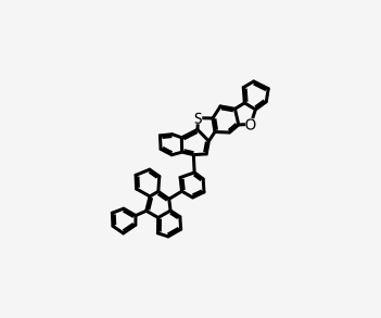 c1ccc(-c2c3ccccc3c(-c3cccc(-c4cc5c6cc7oc8ccccc8c7cc6sc5c5ccccc45)c3)c3ccccc23)cc1